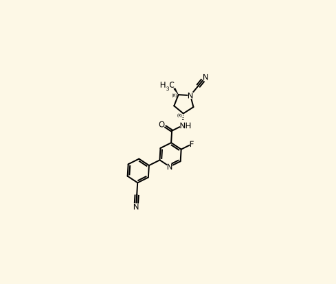 C[C@@H]1C[C@@H](NC(=O)c2cc(-c3cccc(C#N)c3)ncc2F)CN1C#N